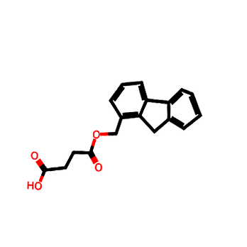 O=C(O)CCC(=O)OCc1cccc2c1Cc1ccccc1-2